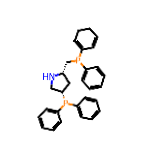 C1=CC(P(C[C@@H]2C[C@H](P(c3ccccc3)c3ccccc3)CN2)c2ccccc2)=CCC1